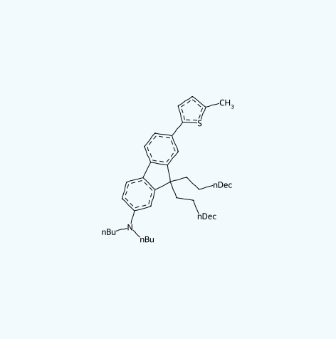 CCCCCCCCCCCCC1(CCCCCCCCCCCC)c2cc(-c3ccc(C)s3)ccc2-c2ccc(N(CCCC)CCCC)cc21